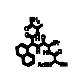 CCC(C)C(NC(C)=O)C(=O)NC(C(=O)NC(C(=O)NC(C)C(N)=O)c1cccc2ccccc12)C(C)C